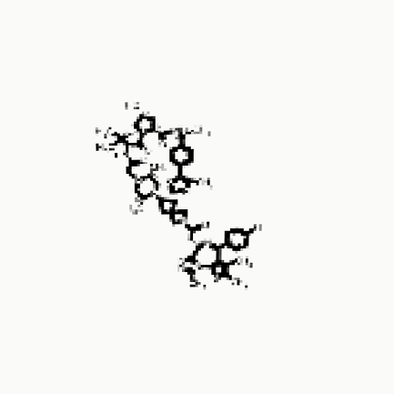 Cc1ncsc1-c1ccc([C@H](C)NC(=O)[C@@H]2C[C@@H](O)CN2C(=O)[C@@H](NC(=O)CN2C[C@H](C)N(C3CC4(C3)CN(C(=O)C[C@@H]3N=C(c5ccc(Cl)cc5)c5c(sc(C)c5C)-n5c(C)nnc53)C4)C[C@H]2C)C(C)(C)C)cc1